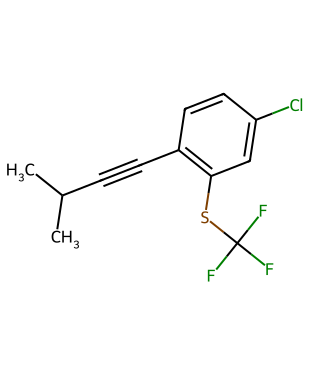 CC(C)C#Cc1ccc(Cl)cc1SC(F)(F)F